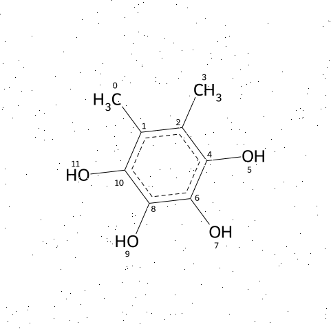 Cc1c(C)c(O)c(O)c(O)c1O